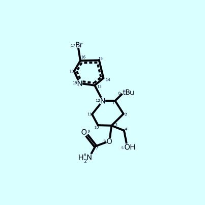 CC(C)(C)C1CC(CO)(OC(N)=O)CCN1c1ccc(Br)cn1